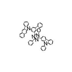 c1ccc(-c2nc(-c3ccc4c5ccccc5n(-c5ccccc5)c4c3)nc(-c3cc(-n4c5ccccc5c5cc6ccccc6cc54)cc4c3oc3ccccc34)n2)cc1